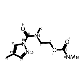 CNC(=O)OCCN(C)C(=O)n1cc(C)cn1